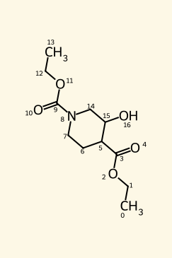 CCOC(=O)C1CCN(C(=O)OCC)CC1O